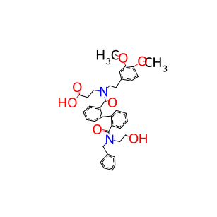 COc1ccc(CCN(CCC(=O)O)C(=O)c2ccccc2-c2ccccc2C(=O)N(CCO)Cc2ccccc2)cc1OC